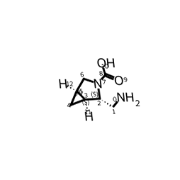 NC[C@@H]1[C@H]2C[C@H]2CN1C(=O)O